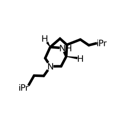 CC(C)CCC1C[C@H]2CN(CCC(C)C)C[C@@H]1N2